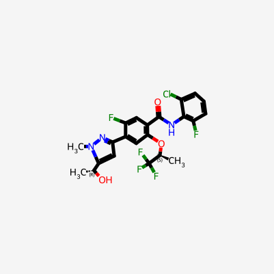 C[C@H](Oc1cc(-c2cc([C@@H](C)O)n(C)n2)c(F)cc1C(=O)Nc1c(F)cccc1Cl)C(F)(F)F